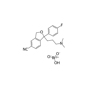 CN(C)CCCC1(c2ccc(F)cc2)OCc2cc(C#N)ccc21.[O-][Br+2]([O-])O